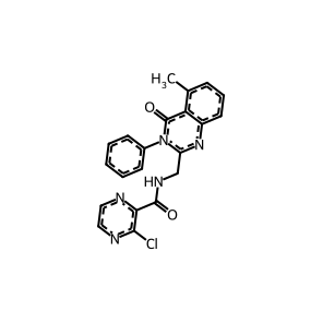 Cc1cccc2nc(CNC(=O)c3nccnc3Cl)n(-c3ccccc3)c(=O)c12